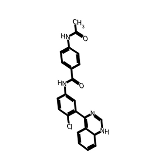 CC(=O)Nc1ccc(C(=O)Nc2ccc(Cl)c(C3=C4C=CC=CC4NC=N3)c2)cc1